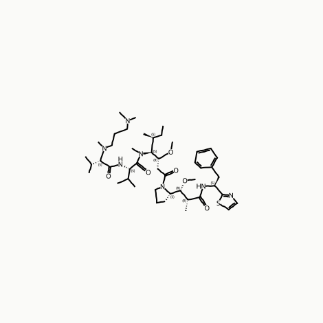 CC[C@H](C)[C@@H]([C@@H](CC(=O)N1CCC[C@H]1[C@H](OC)[C@@H](C)C(=O)N[C@@H](Cc1ccccc1)c1nccs1)OC)N(C)C(=O)[C@@H](NC(=O)[C@H](C(C)C)N(C)CCCN(C)C)C(C)C